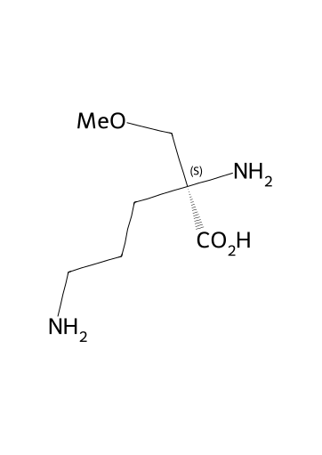 COC[C@@](N)(CCCN)C(=O)O